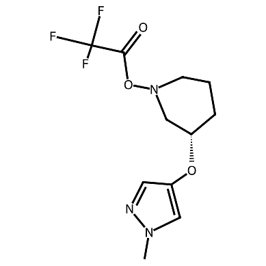 Cn1cc(O[C@H]2CCCN(OC(=O)C(F)(F)F)C2)cn1